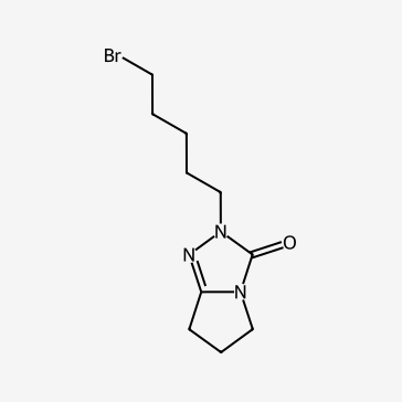 O=c1n(CCCCCBr)nc2n1CCC2